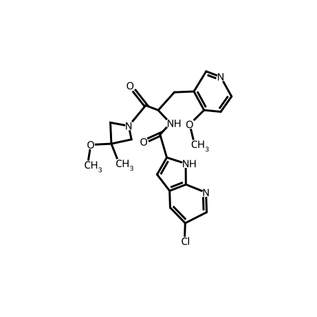 COc1ccncc1CC(NC(=O)c1cc2cc(Cl)cnc2[nH]1)C(=O)N1CC(C)(OC)C1